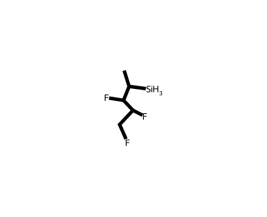 CC([SiH3])C(F)C(F)CF